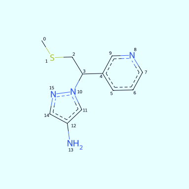 CSCC(c1cccnc1)n1cc(N)cn1